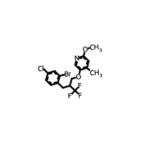 COc1cc(C)c(OCC(Cc2ccc(Cl)cc2Br)C(F)(F)F)cn1